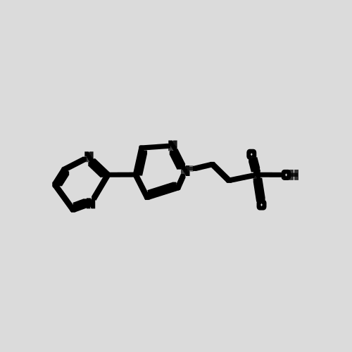 O=S(=O)(O)CC[n+]1ccc(-c2ncccn2)cn1